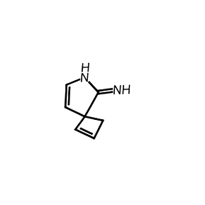 N=C1NC=CC12C=CC2